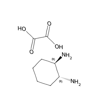 N[C@@H]1CCCC[C@H]1N.O=C(O)C(=O)O